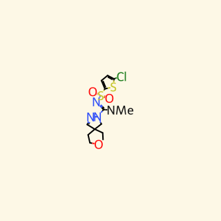 CN/C(=N\S(=O)(=O)c1ccc(Cl)s1)N1CC2(C=N1)CCOCC2